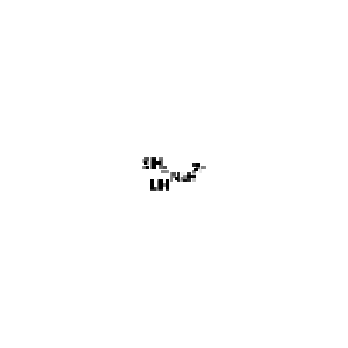 [LiH].[NaH].[SiH4].[Zr]